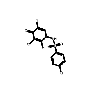 O=C1C(Cl)=CC(NS(=O)(=O)c2ccc(Cl)cc2)C(Cl)=C1Cl